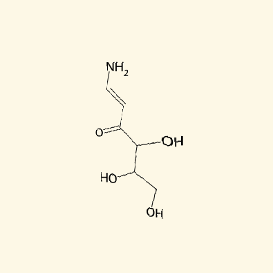 NC=CC(=O)C(O)C(O)CO